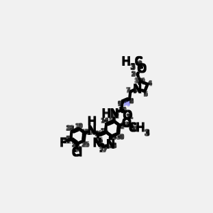 COC[C@H]1CCN1C/C=C/C(=O)Nc1cc2c(Nc3ccc(F)c(Cl)c3)ncnc2cc1OC